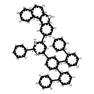 c1ccc(-c2nc(-c3ccc(-c4ccccc4-c4ccccc4)c(-c4ccccc4-c4ccccc4)c3)cc(-c3ccc4oc5ccc6ccccc6c5c4c3)n2)cc1